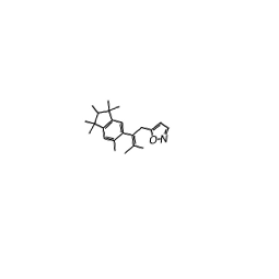 CC(C)=C(Cc1ccno1)c1cc2c(cc1C)C(C)(C)C(C)C2(C)C